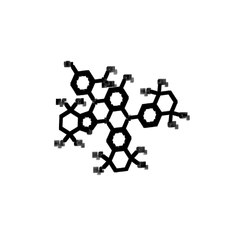 Cc1cc2c3c(c1)N(c1ccc(C(C)(C)C)cc1[SiH](C)C)c1c(oc4c1C(C)(C)CCC4(C)C)B3c1cc3c(cc1N2c1ccc2c(c1)C(C)(C)CCC2(C)C)C(C)(C)CCC3(C)C